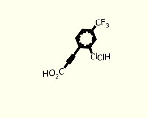 Cl.O=C(O)C#Cc1ccc(C(F)(F)F)cc1Cl